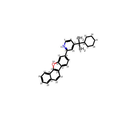 BC(B)(c1ccnc(-c2ccc3c(c2)oc2c4ccccc4ccc32)c1)C1CCCCC1